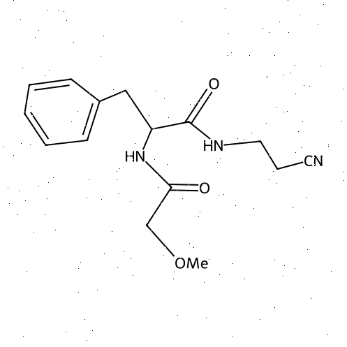 COCC(=O)NC(Cc1ccccc1)C(=O)NCCC#N